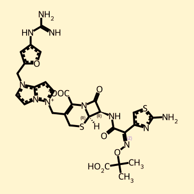 CC(C)(O/N=C(\C(=O)N[C@@H]1C(=O)N2C(C(=O)[O-])=C(C[n+]3ccc4n(Cc5cc(NC(=N)N)co5)ccn43)CS[C@H]12)c1csc(N)n1)C(=O)O